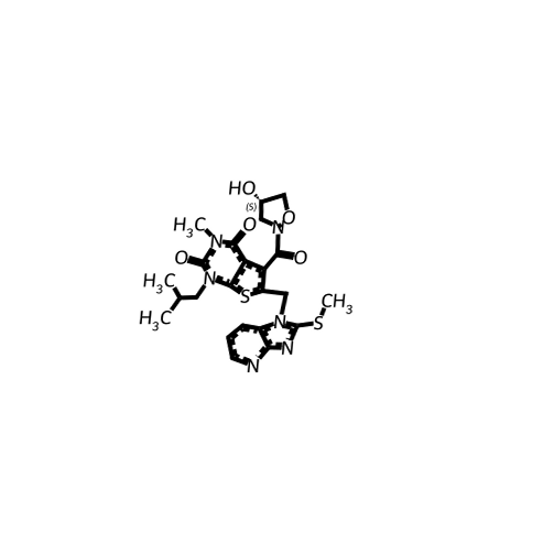 CSc1nc2ncccc2n1Cc1sc2c(c1C(=O)N1C[C@H](O)CO1)c(=O)n(C)c(=O)n2CC(C)C